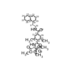 COC(=O)C(NC(=O)c1c(C)cc(C(=O)NCCc2cccc3ccccc23)cc1C)P(=O)(OC)OC